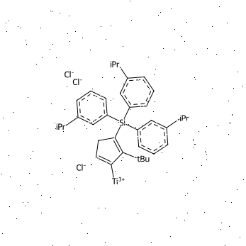 CC(C)c1cccc([Si](C2=C(C(C)(C)C)[C]([Ti+3])=CC2)(c2cccc(C(C)C)c2)c2cccc(C(C)C)c2)c1.[Cl-].[Cl-].[Cl-]